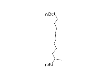 [CH2]C(CCCC)CCCCCCCCCCCCCCCC